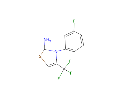 NC1SC=C(C(F)(F)F)N1c1cccc(F)c1